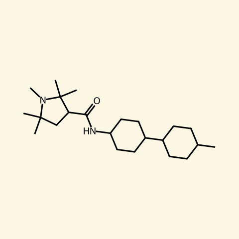 CC1CCC(C2CCC(NC(=O)C3CC(C)(C)N(C)C3(C)C)CC2)CC1